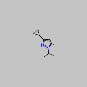 CC(C)n1[c]cc(C2CC2)n1